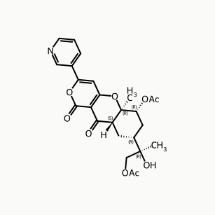 CC(=O)OC[C@](C)(O)[C@@H]1C[C@@H]2C(=O)c3c(cc(-c4cccnc4)oc3=O)O[C@@]2(C)[C@H](OC(C)=O)C1